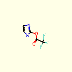 O=C(OC1=NC=C[N]1)C(F)(F)F